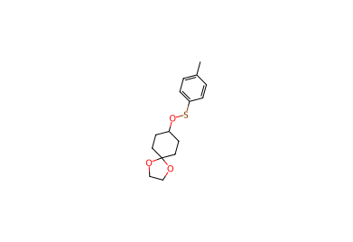 Cc1ccc(SOC2CCC3(CC2)OCCO3)cc1